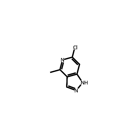 Cc1nc(Cl)cc2[nH]ncc12